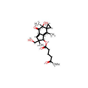 COC(=O)CCCC(=O)OC1C2=C(C)C3(CC3)[C@@](C)(O)C(=O)C2=CC1(C)CO